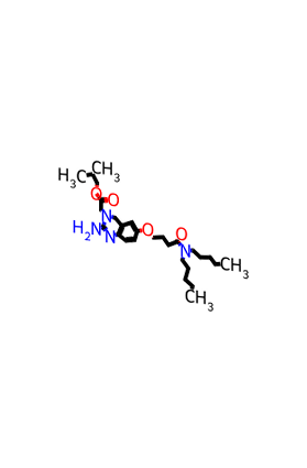 CCCCCN(CCCCC)C(=O)CCCOc1ccc2c(c1)CN(CC(=O)OCC(C)C)C(N)=N2